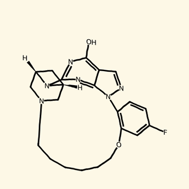 Oc1nc2nc3c1cnn3-c1ccc(F)cc1OCCCCCCN1C[C@H]3C[C@@H](C1)N23